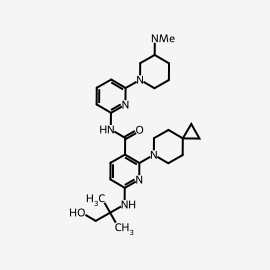 CNC1CCCN(c2cccc(NC(=O)c3ccc(NC(C)(C)CO)nc3N3CCC4(CC3)CC4)n2)C1